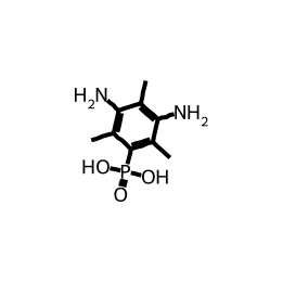 Cc1c(N)c(C)c(P(=O)(O)O)c(C)c1N